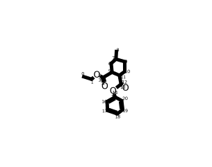 CCOC(=O)C1CC(C)CCC1C(=O)Oc1ccccc1